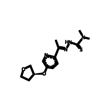 C/C(=N\NC(=S)N(C)C)c1ccc(O[C@H]2CCOC2)cn1